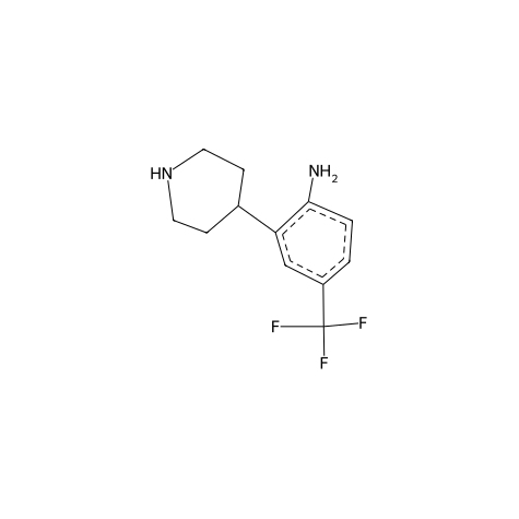 Nc1ccc(C(F)(F)F)cc1C1CCNCC1